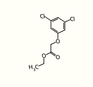 CCOC(=O)COc1cc(Cl)cc(Cl)c1